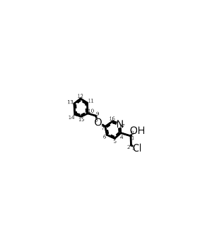 OC(CCl)c1ccc(OCc2ccccc2)cn1